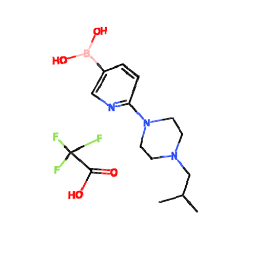 CC(C)CN1CCN(c2ccc(B(O)O)cn2)CC1.O=C(O)C(F)(F)F